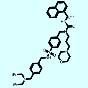 CC(C)CN(Cc1ccc(CNS(=O)(=O)c2ccc(CN(CCCN3CCOCC3)C(=O)N[C@@H](C)c3cccc4ccccc34)cc2)cc1)CC(C)C